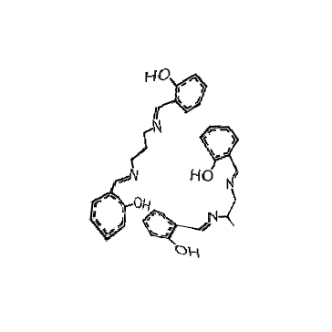 CC(CN=Cc1ccccc1O)N=Cc1ccccc1O.Oc1ccccc1C=NCCCN=Cc1ccccc1O